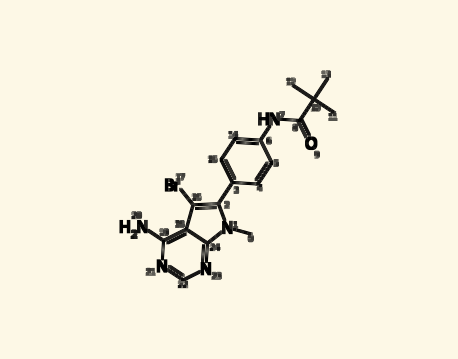 Cn1c(-c2ccc(NC(=O)C(C)(C)C)cc2)c(Br)c2c(N)ncnc21